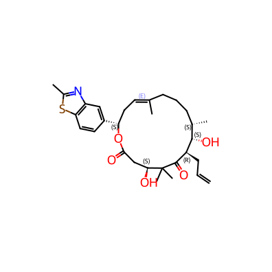 C=CC[C@H]1C(=O)C(C)(C)[C@@H](O)CC(=O)O[C@H](c2ccc3sc(C)nc3c2)C/C=C(\C)CCC[C@H](C)[C@@H]1O